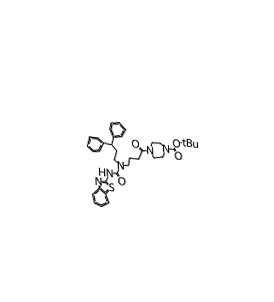 CC(C)(C)OC(=O)N1CCN(C(=O)CCCN(CCC(c2ccccc2)c2ccccc2)C(=O)Nc2nc3ccccc3s2)CC1